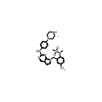 C[C@@H]1CN(c2ccc(Nc3ncc4ccn(Cc5cc(C(F)(F)F)ccc5N(C)S(C)(=O)=O)c4n3)cc2)CCN1